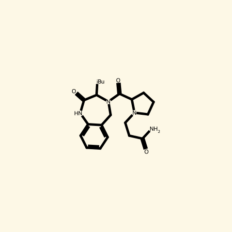 CCC(C)C1C(=O)Nc2ccccc2CN1C(=O)C1CCCN1CCC(N)=O